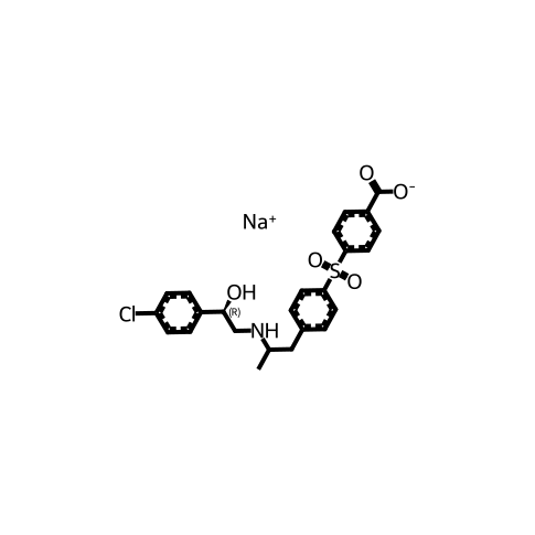 CC(Cc1ccc(S(=O)(=O)c2ccc(C(=O)[O-])cc2)cc1)NC[C@H](O)c1ccc(Cl)cc1.[Na+]